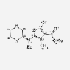 CCN(c1sc(Br)c(C(=O)OC)c1C)C1CCCCC1